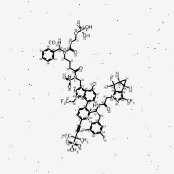 CC(C)(C#Cc1ccc(-c2ccc(Cl)c3c(CN(C(=O)CCCN(C(=O)OCOP(=O)(O)O)[C@H](C(=O)O)c4ccccc4)[SH](=O)=O)nn(CC(F)(F)F)c23)c([C@H](Cc2cc(F)cc(F)c2)NC(=O)Cn2nc(C(F)(F)F)c3c2C(F)(F)[C@@H]2C[C@H]32)n1)S(C)(=O)=O